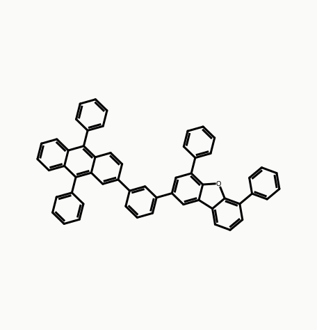 c1ccc(-c2c3ccccc3c(-c3ccccc3)c3cc(-c4cccc(-c5cc(-c6ccccc6)c6oc7c(-c8ccccc8)cccc7c6c5)c4)ccc23)cc1